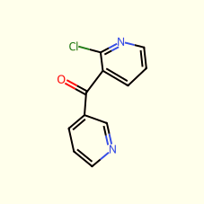 O=C(c1cccnc1)c1cccnc1Cl